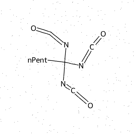 CCCCCC(N=C=O)(N=C=O)N=C=O